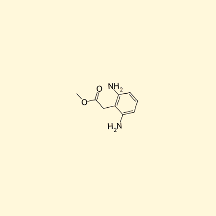 COC(=O)Cc1c(N)cccc1N